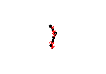 COC(=O)c1cccc(C(=O)Oc2ccc(C(C)(C)c3ccc(OC(=O)c4cccc(C(=O)Oc5ccc(CC(=O)c6ccc(C)cc6)cc5)c4)cc3)cc2)c1